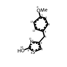 COc1ccc(Cc2csc(O)n2)cc1